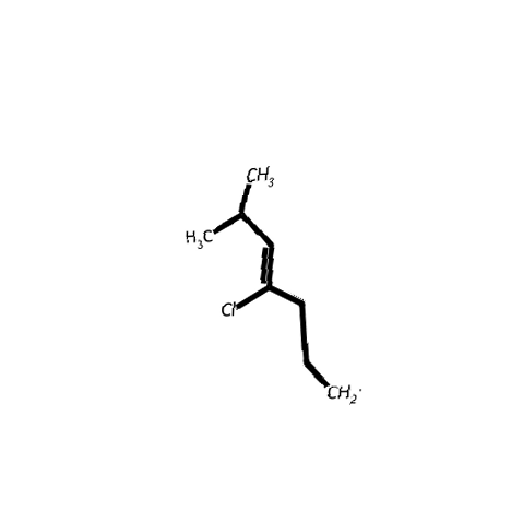 [CH2]CCC(Cl)=CC(C)C